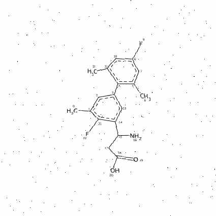 Cc1cc(-c2c(C)cc(F)cc2C)cc(C(N)CC(=O)O)c1F